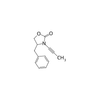 CC#CN1C(=O)OCC1Cc1ccccc1